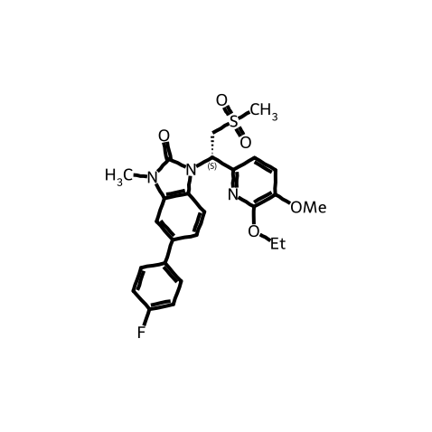 CCOc1nc([C@@H](CS(C)(=O)=O)n2c(=O)n(C)c3cc(-c4ccc(F)cc4)ccc32)ccc1OC